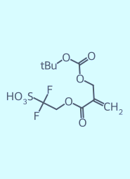 C=C(COC(=O)OC(C)(C)C)C(=O)OCC(F)(F)S(=O)(=O)O